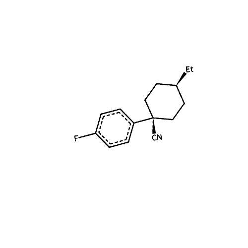 CC[C@H]1CC[C@](C#N)(c2ccc(F)cc2)CC1